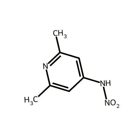 Cc1cc(N[N+](=O)[O-])cc(C)n1